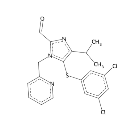 CC(C)c1nc(C=O)n(Cc2ccccn2)c1Sc1cc(Cl)cc(Cl)c1